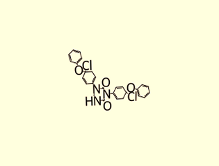 O=C1NCN(C2=CCC(Cl)(Oc3ccccc3)C=C2)C(=O)N1C1=CCC(Cl)(Oc2ccccc2)C=C1